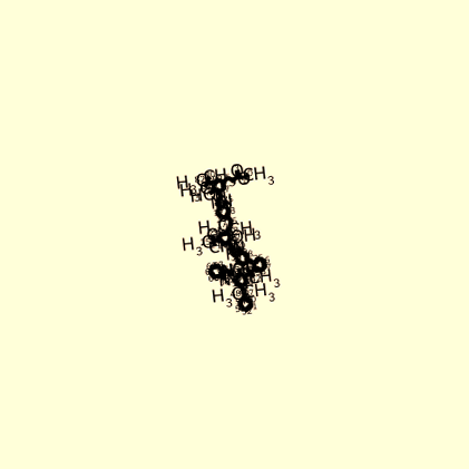 COC(=O)CCc1cc(-n2nc3ccc(CC(C)(C)c4cc(C(C)(C)C)cc(-n5nc6ccc(-c7ccccc7C(C)(C)c7cc(C(C)(C)c8ccccc8)cc(-n8nc9ccccc9n8)c7O)cc6n5)c4O)cc3n2)c(O)c(C(C)(C)C)c1